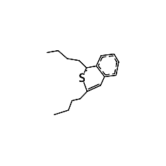 CCCC[C]1SC(CCCC)=Cc2ccccc21